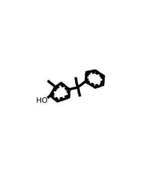 Cc1cc(C(C)(C)c2ccccc2)ccc1O